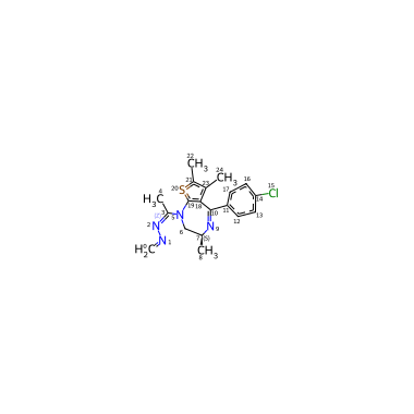 C=N/N=C(/C)N1C[C@H](C)N=C(c2ccc(Cl)cc2)c2c1sc(C)c2C